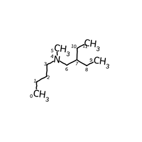 CCCCN(C)CC(CC)CC